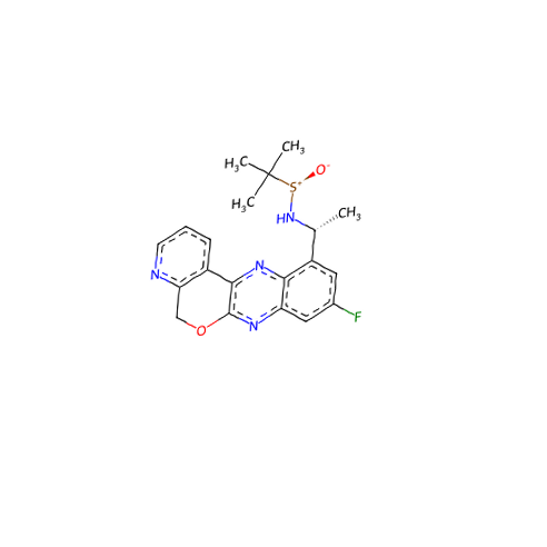 C[C@@H](N[S@+]([O-])C(C)(C)C)c1cc(F)cc2nc3c(nc12)-c1cccnc1CO3